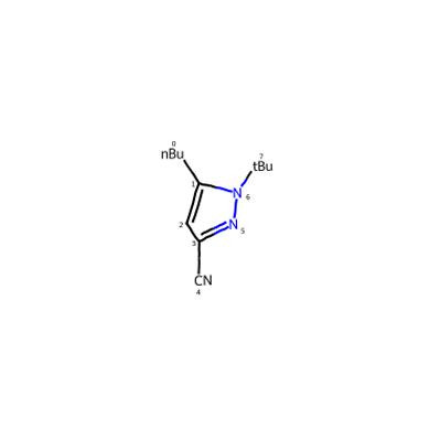 CCCCc1cc(C#N)nn1C(C)(C)C